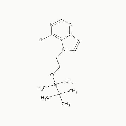 CC(C)(C)[Si](C)(C)OCCn1ccc2ncnc(Cl)c21